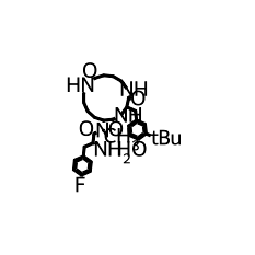 CN(C(=O)[C@@H](N)Cc1ccc(F)cc1)[C@H]1CCCCNC(=O)CCCNC(=O)C(Cc2ccc(O)c(C(C)(C)C)c2)NC1=O